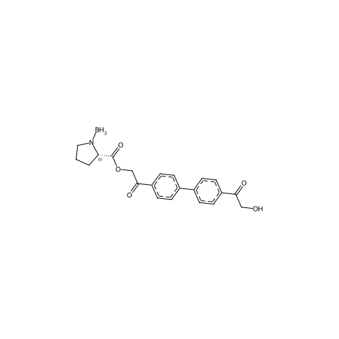 BN1CCC[C@H]1C(=O)OCC(=O)c1ccc(-c2ccc(C(=O)CO)cc2)cc1